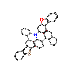 c1ccc(N(c2ccc3c(c2)oc2ccccc23)c2ccccc2-c2cccc3ccccc23)c(-c2ccc3sc4ccccc4c3c2)c1